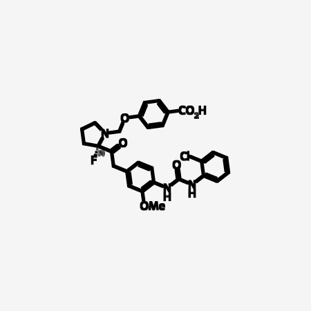 COc1cc(CC(=O)[C@@]2(F)CCCN2COc2ccc(C(=O)O)cc2)ccc1NC(=O)Nc1ccccc1Cl